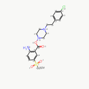 CNS(=O)(=O)c1ccc(N)c(C(=O)ON2CCN(CCc3ccc(Cl)cc3)CC2)c1